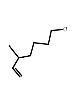 C=CC(C)CCCCCl